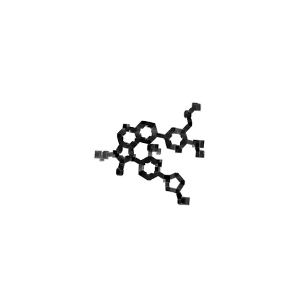 CCNc1ncc(-c2ccc3ncc4c(c3c2)n(-c2ccc(N3CC[C@@H](O)C3)nc2C)c(=O)n4C)cc1COCC